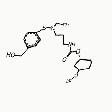 CCOC1CC[C@@H](OC(=O)NCCCN(CC(C)C)Sc2ccc(CO)cc2)C1